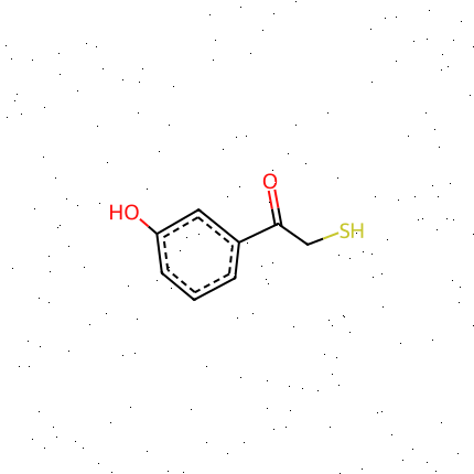 O=C(CS)c1cccc(O)c1